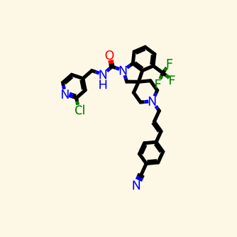 N#Cc1ccc(/C=C/CN2CCC3(CC2)CN(C(=O)NCc2ccnc(Cl)c2)c2cccc(C(F)(F)F)c23)cc1